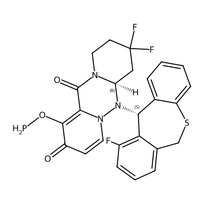 O=C1c2c(OP)c(=O)ccn2N([C@@H]2c3ccccc3SCc3cccc(F)c32)[C@@H]2CC(F)(F)CCN12